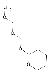 COCOCOC1CCCCO1